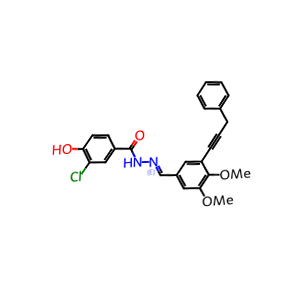 COc1cc(/C=N/NC(=O)c2ccc(O)c(Cl)c2)cc(C#CCc2ccccc2)c1OC